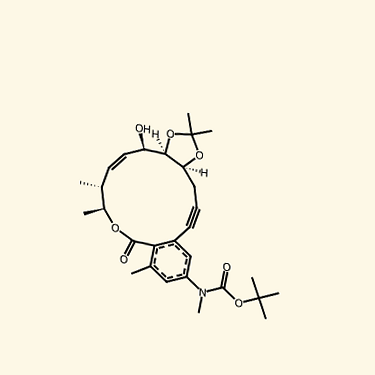 Cc1cc(N(C)C(=O)OC(C)(C)C)cc2c1C(=O)O[C@@H](C)[C@H](C)/C=C\[C@@H](O)[C@H]1OC(C)(C)O[C@H]1CC#C2